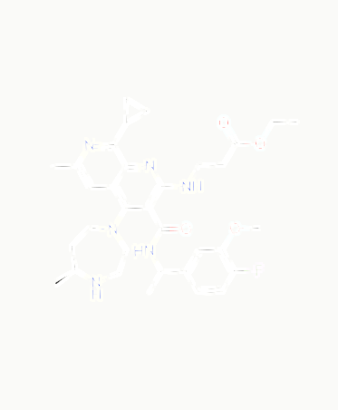 CCOC(=O)CCNc1nc2c(C3CC3)nc(C)cc2c(N2CCN[C@@H](C)CC2)c1C(=O)NC(C)c1ccc(F)c(OC)c1